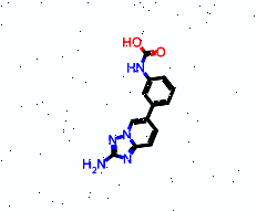 Nc1nc2ccc(-c3cccc(NC(=O)O)c3)cn2n1